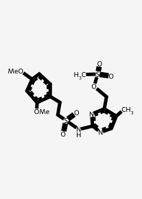 COc1ccc(CCS(=O)(=O)Nc2ncc(C)c(COS(C)(=O)=O)n2)c(OC)c1